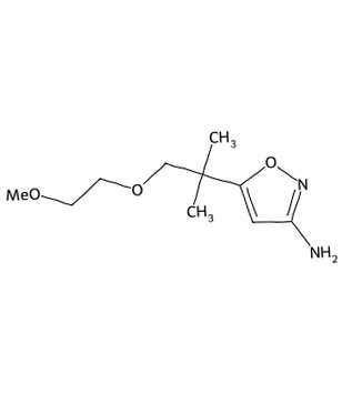 COCCOCC(C)(C)c1cc(N)no1